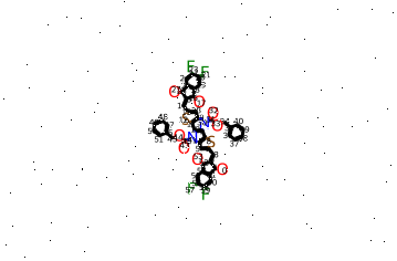 O=C1C(=Cc2cc3c(s2)c2c(c4sc(C=C5C(=O)c6cc(F)c(F)cc6C5=O)cc4n2C(=O)OCc2ccccc2)n3C(=O)OCc2ccccc2)C(=O)c2cc(F)c(F)cc21